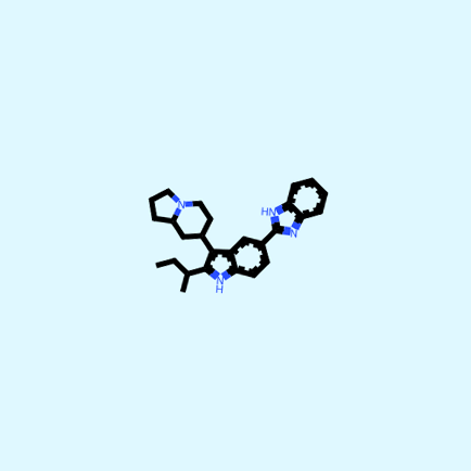 CCC(C)c1[nH]c2ccc(-c3nc4ccccc4[nH]3)cc2c1C1CCN2CCCC2C1